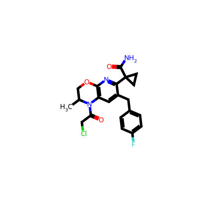 CC1COc2nc(C3(C(N)=O)CC3)c(Cc3ccc(F)cc3)cc2N1C(=O)CCl